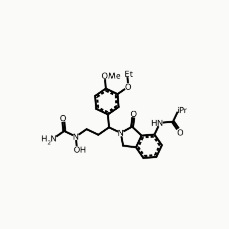 CCOc1cc(C(CCN(O)C(N)=O)N2Cc3cccc(NC(=O)C(C)C)c3C2=O)ccc1OC